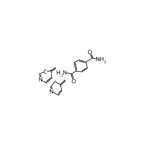 C=C1C=CN=CC1.C=C1C=CN=CC1.NC(=O)c1ccc(C(N)=O)cc1